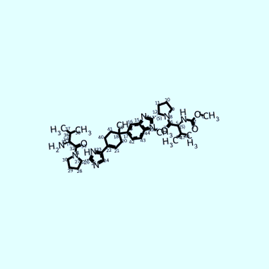 COC(=O)N[C@H](C(=O)N1CCC[C@H]1c1nc2cc(C3(C)CC=C(c4cnc([C@@H]5CCCN5C(=O)[C@@H](N)C(C)C)[nH]4)CC3)ccc2n1C)C(C)C